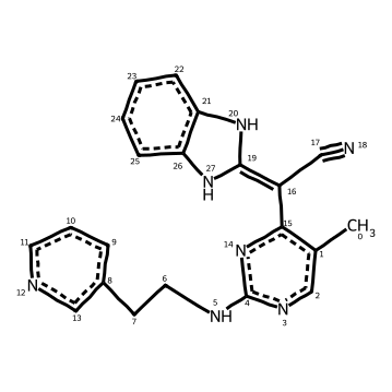 Cc1cnc(NCCc2cccnc2)nc1C(C#N)=C1Nc2ccccc2N1